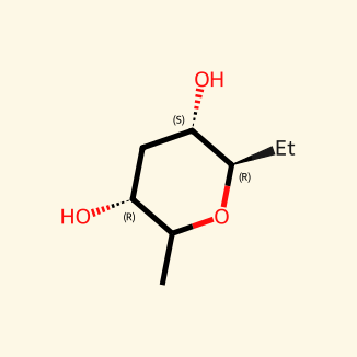 CC[C@H]1OC(C)[C@H](O)C[C@@H]1O